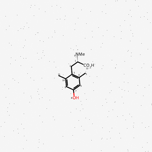 [CH2]N[C@@H](Cc1c(C)cc(O)cc1C)C(=O)O